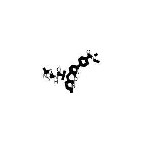 CCN(C)C(=O)c1ccc(-c2ccc3c(n2)Oc2nc(C)ccc2[C@@H]3C(C)(C)C(=O)Nc2nnc(C)s2)cc1